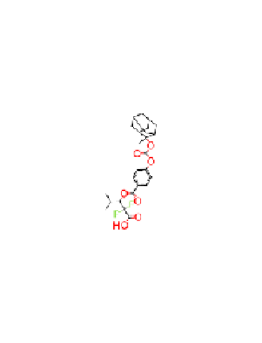 CC(C)C(OC(=O)c1ccc(OC(=O)OC2(C)C3CC4CC(C3)CC2C4)cc1)C(F)(F)C(=O)O